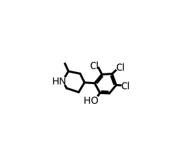 CC1CC(c2c(O)cc(Cl)c(Cl)c2Cl)CCN1